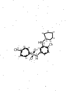 O=S(=O)(Nc1ccc(Cl)c(NN2CCCCC2)c1)c1ccc(Cl)cc1